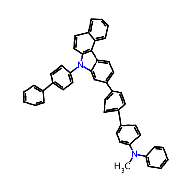 CN(c1ccccc1)c1ccc(-c2ccc(-c3ccc4c5c6ccccc6ccc5n(-c5ccc(-c6ccccc6)cc5)c4c3)cc2)cc1